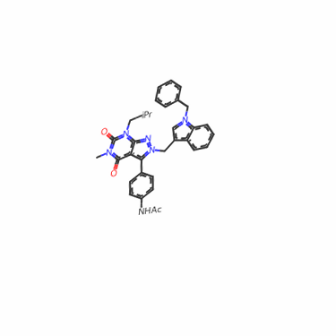 CC(=O)Nc1ccc(-c2c3c(=O)n(C)c(=O)n(CC(C)C)c3nn2Cc2cn(Cc3ccccc3)c3ccccc23)cc1